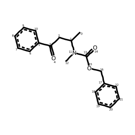 CC(CC(=O)c1ccccc1)N(C)C(=O)OCc1ccccc1